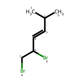 CC(C)C=CC(Br)CBr